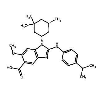 COc1cc2c(cc1C(=O)O)nc(Nc1ccc(C(C)C)cc1)n2[C@H]1C[C@@H](C)CC(C)(C)C1